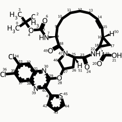 CC(C)(C)OC(=O)N[C@H]1CCCCC/C=C\[C@@H]2C[C@@]2(C(=O)O)NC(=O)[C@@H]2CC(Oc3nc4cc(Cl)c(Cl)cc4nc3-c3cccs3)CN2C1=O